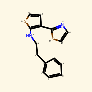 c1ccc(CCNc2sccc2-c2nccs2)cc1